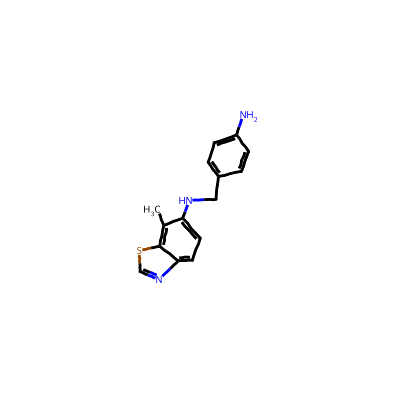 Cc1c(NCc2ccc(N)cc2)ccc2ncsc12